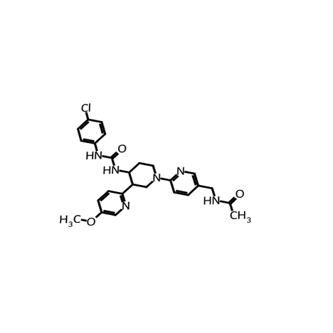 COc1ccc(C2CN(c3ccc(CNC(C)=O)cn3)CCC2NC(=O)Nc2ccc(Cl)cc2)nc1